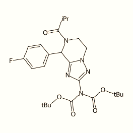 CC(C)C(=O)N1CCn2nc(N(C(=O)OC(C)(C)C)C(=O)OC(C)(C)C)nc2C1c1ccc(F)cc1